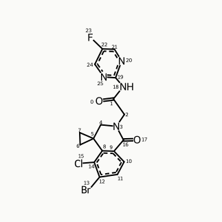 O=C(CN1CC2(CC2)c2c(ccc(Br)c2Cl)C1=O)Nc1ncc(F)cn1